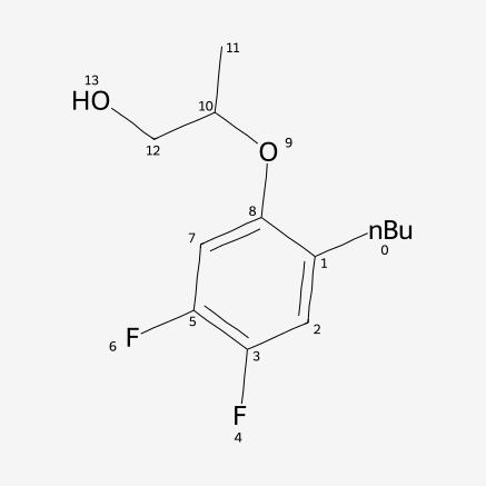 CCCCc1cc(F)c(F)cc1OC(C)CO